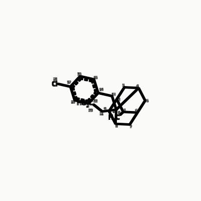 CC1C2CC3CC1CC(C2)C3(CC(=O)O)Cc1ccc(Cl)cc1